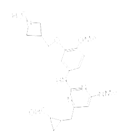 CNc1cc(CC2CC2C=O)nc(Nc2ccc(OC)c(OCC3CN(C)C3)c2)n1